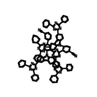 N#Cc1cccc(-c2ccc(-n3c4ccc(-c5nc(-c6ccccc6)nc(-c6ccccc6)n5)cc4c4cc(-c5nc(-c6ccccc6)nc(-c6ccccc6)n5)ccc43)c(-c3nc(-c4ccccc4)nc(-c4cc(C#N)ccc4-n4c5ccc(-c6nc(-c7ccccc7)nc(-c7ccccc7)n6)cc5c5cc(-c6nc(-c7ccccc7)nc(-c7ccccc7)n6)ccc54)n3)c2)c1